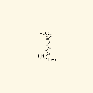 CCCCCCC(N)CCCCCCCC(=O)O